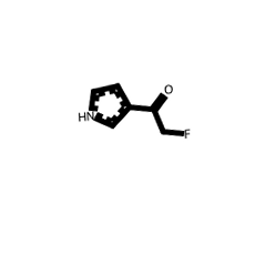 O=C(CF)c1cc[nH]c1